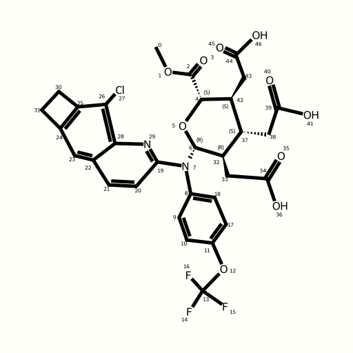 COC(=O)[C@H]1O[C@@H](N(c2ccc(OC(F)(F)F)cc2)c2ccc3cc4c(c(Cl)c3n2)CC4)[C@H](CC(=O)O)[C@@H](CC(=O)O)[C@@H]1CC(=O)O